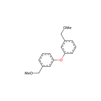 COCc1cccc(Oc2cccc(COC)c2)c1